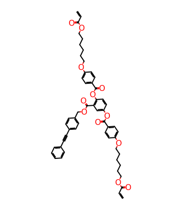 C=CC(=O)OCCCCCCOc1ccc(C(=O)Oc2ccc(OC(=O)c3ccc(OCCCCCCOC(=O)C=C)cc3)c(C(=O)OCc3ccc(C#Cc4ccccc4)cc3)c2)cc1